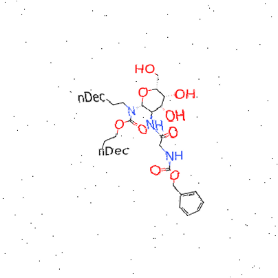 CCCCCCCCCCCCOC(=O)N(CCCCCCCCCCCC)[C@@H]1O[C@H](CO)[C@H](O)[C@H](O)[C@H]1NC(=O)CNC(=O)OCc1ccccc1